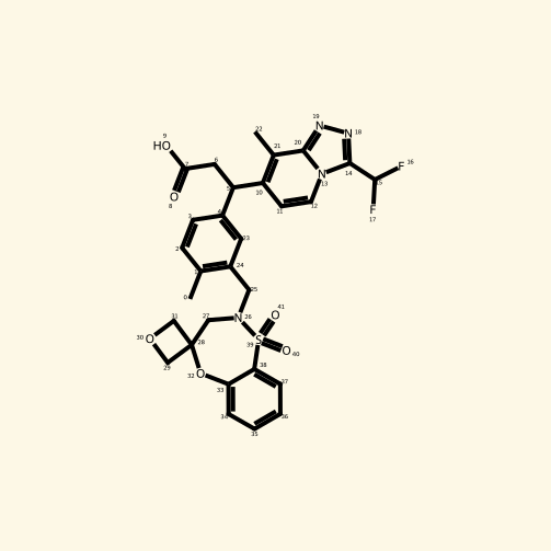 Cc1ccc(C(CC(=O)O)c2ccn3c(C(F)F)nnc3c2C)cc1CN1CC2(COC2)Oc2ccccc2S1(=O)=O